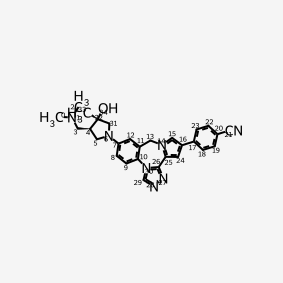 CN(C)C[C@@H]1CN(c2ccc3c(c2)Cn2cc(-c4ccc(C#N)cc4)cc2-c2nncn2-3)C[C@@]1(C)O